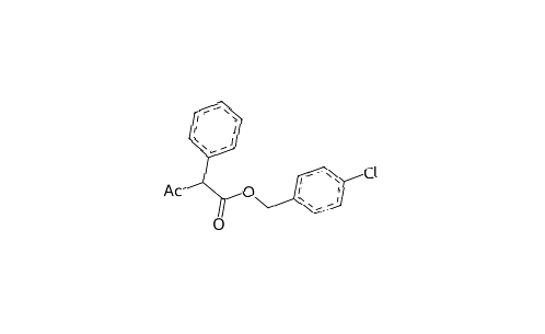 CC(=O)C(C(=O)OCc1ccc(Cl)cc1)c1ccccc1